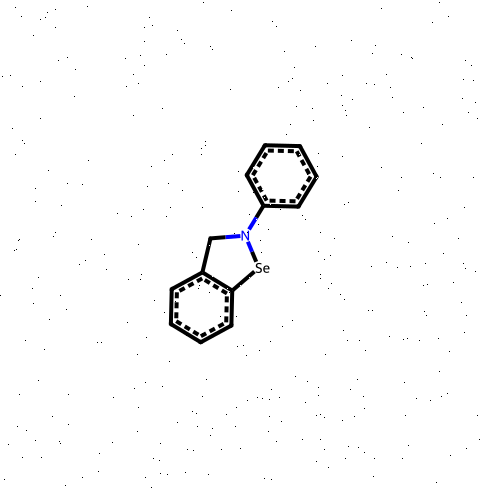 c1ccc(N2Cc3ccccc3[Se]2)cc1